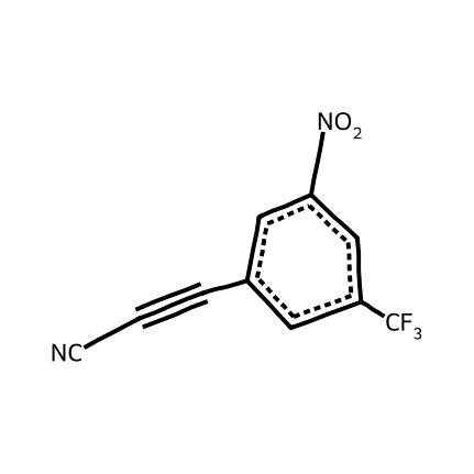 N#CC#Cc1cc([N+](=O)[O-])cc(C(F)(F)F)c1